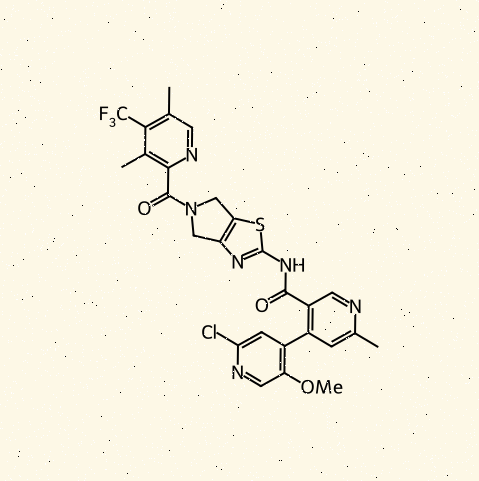 COc1cnc(Cl)cc1-c1cc(C)ncc1C(=O)Nc1nc2c(s1)CN(C(=O)c1ncc(C)c(C(F)(F)F)c1C)C2